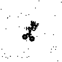 Cn1cc(C(=O)NC#CC(C)(Cc2ccccc2)Cc2ccccc2)c(C(F)F)n1